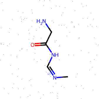 C/N=C\NC(=O)CN